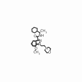 COc1cccc2c(C(=O)N[C@@H](C)C3CCCCC3)nn(CCN3CCOCC3)c12